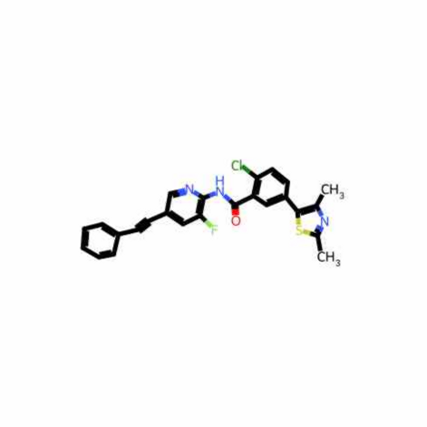 Cc1nc(C)c(-c2ccc(Cl)c(C(=O)Nc3ncc(C#Cc4ccccc4)cc3F)c2)s1